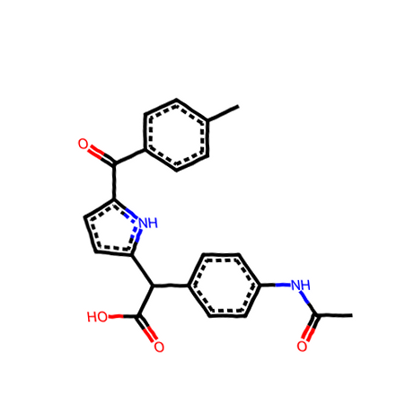 CC(=O)Nc1ccc(C(C(=O)O)c2ccc(C(=O)c3ccc(C)cc3)[nH]2)cc1